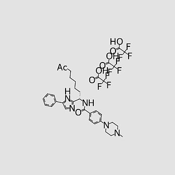 CC(=O)CCCCC[C@H](NC(=O)c1ccc(N2CCN(C)CC2)cc1)c1ncc(-c2ccccc2)[nH]1.O=C(O)C(F)(F)F.O=C(O)C(F)(F)F.O=C(O)C(F)(F)F